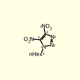 CCCCCCn1nnc([N+](=O)[O-])c1[N+](=O)[O-]